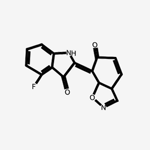 O=C1C=CC2C=NOC2C1=C1Nc2cccc(F)c2C1=O